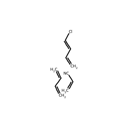 C=CC#N.C=CC=C.C=CC=CCl